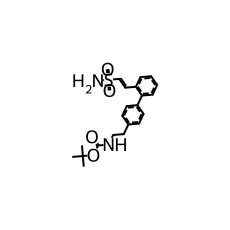 CC(C)(C)OC(=O)NCCc1ccc(-c2ccccc2C=CS(N)(=O)=O)cc1